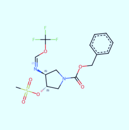 CS(=O)(=O)O[C@H]1CN(C(=O)OCc2ccccc2)C[C@@H]1/N=C\OC(F)(F)F